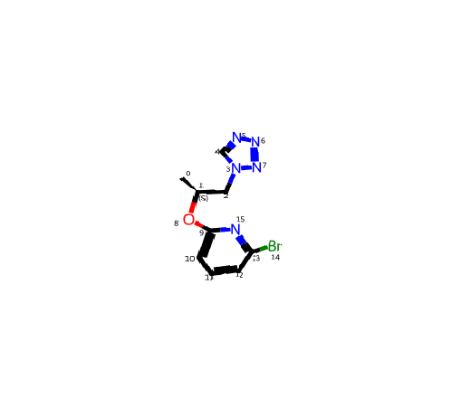 C[C@@H](Cn1cnnn1)Oc1cccc(Br)n1